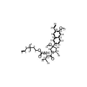 C=CCC(C)(C)CCOC(=O)N[C@H](C(=O)N1C[C@](OC)(c2ccc3cc(OC)c(C=C)cc3c2)C[C@H]1C)C(C)C